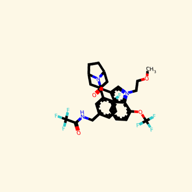 COCCn1cc(C(=O)N2C3CCC2CC(c2cc(CNC(=O)C(F)(F)F)ccc2F)C3)c2cccc(OC(F)(F)F)c21